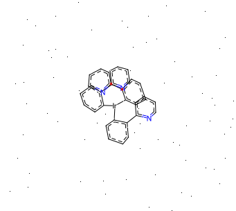 c1ccc(-c2cccc[c]2[Ir]([c]2ccccc2-c2ccccn2)[c]2ccccc2-c2ccccn2)nc1